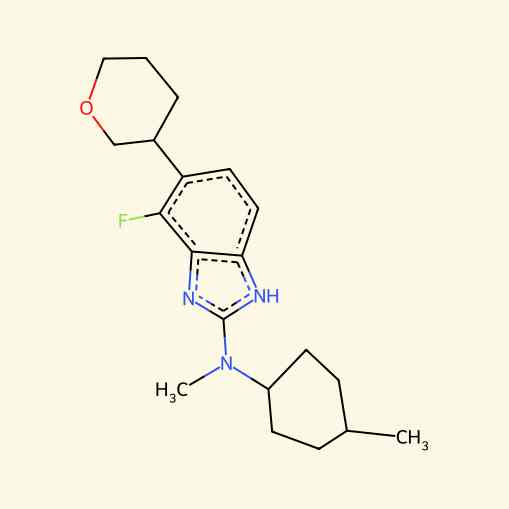 CC1CCC(N(C)c2nc3c(F)c(C4CCCOC4)ccc3[nH]2)CC1